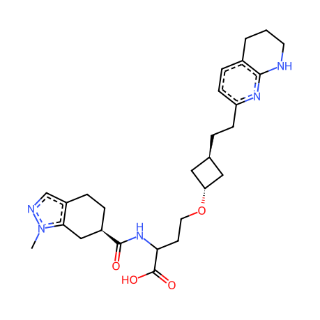 Cn1ncc2c1C[C@H](C(=O)NC(CCO[C@H]1C[C@H](CCc3ccc4c(n3)NCCC4)C1)C(=O)O)CC2